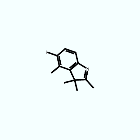 CC1=Nc2ccc(I)c(C)c2C1(C)C